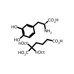 CCCCCCCCC(CCCCCCCC)(CCCC(=O)O)C(=O)O.N[C@@H](Cc1ccc(O)c(O)c1)C(=O)O